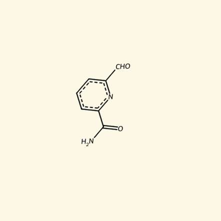 NC(=O)c1cccc(C=O)n1